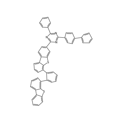 c1ccc(-c2ccc(-c3nc(-c4ccccc4)nc(-c4ccc5c(c4)sc4c(-c6ccccc6-c6cccc7c6sc6ccccc67)cccc45)n3)cc2)cc1